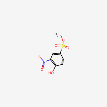 COS(=O)(=O)c1ccc(O)c([N+](=O)[O-])c1